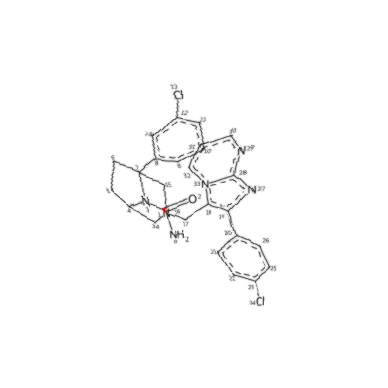 NC(=O)N1C2CCC1(c1cccc(Cl)c1)CN(Cc1c(-c3ccc(Cl)cc3)nc3ncccn13)C2